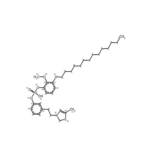 CCCCCCCCCCCCCCOc1cccc(OP(=O)(O)Oc2cccc(CCN3C=C(C)SC3)c2)c1OC